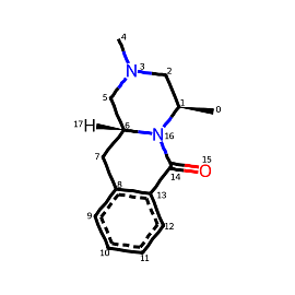 C[C@@H]1CN(C)C[C@H]2Cc3ccccc3C(=O)N21